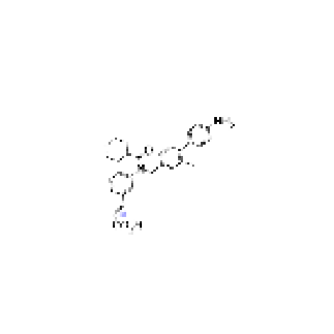 Cc1cc(CN(C(=O)C2CCCCC2)c2cccc(/C=C/C(=O)O)c2)ccc1-c1ccc(N)cc1